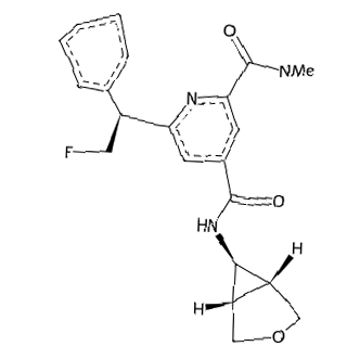 CNC(=O)c1cc(C(=O)N[C@H]2[C@@H]3COC[C@@H]32)cc([C@@H](CF)c2ccccc2)n1